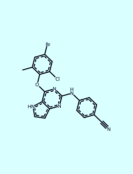 Cc1cc(Br)cc(Cl)c1Oc1nc(Nc2ccc(C#N)cc2)nc2cc[nH]c12